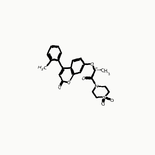 Cc1ccccc1-c1cc(=O)oc2cc(O[C@H](C)C(=O)N3CCS(=O)(=O)CC3)ccc12